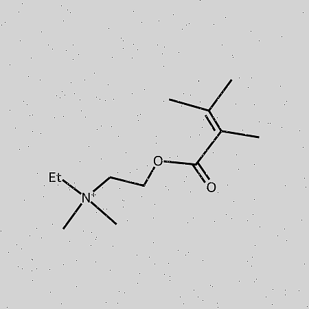 CC[N+](C)(C)CCOC(=O)C(C)=C(C)C